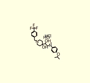 CC(C)Oc1ccc(N(C)CC(O)C2(O)CCN(Cc3ccc(C(F)(F)F)cc3)CC2)cc1.Cl.Cl